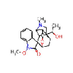 CON1C(=O)C2(c3ccccc31)C1CC3C(CO1)C1C2C3(C(C)O)CN1C